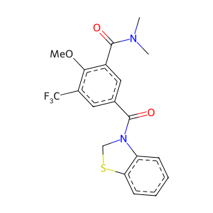 COc1c(C(=O)N(C)C)cc(C(=O)N2CSc3ccccc32)cc1C(F)(F)F